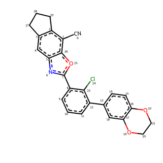 N#Cc1c2c(cc3nc(-c4cccc(-c5ccc6c(c5)OCCO6)c4Cl)oc13)CCC2